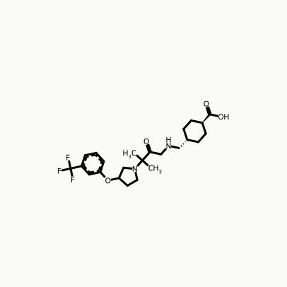 CC(C)(C(=O)CNC[C@H]1CC[C@H](C(=O)O)CC1)N1CCC(Oc2cccc(C(F)(F)F)c2)C1